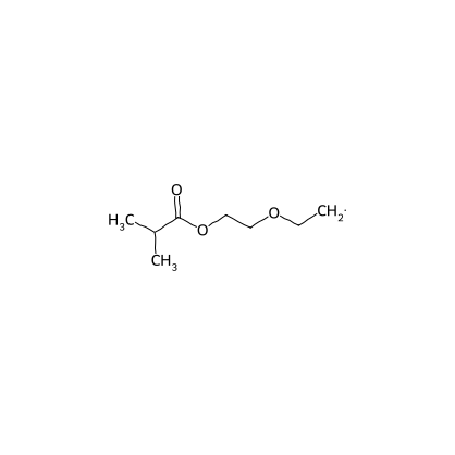 [CH2]COCCOC(=O)C(C)C